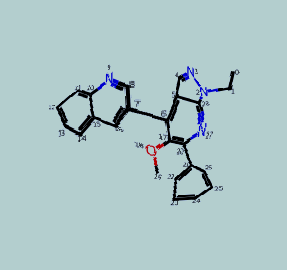 CCn1ncc2c(-c3cnc4ccccc4c3)c(OC)c(-c3ccccc3)nc21